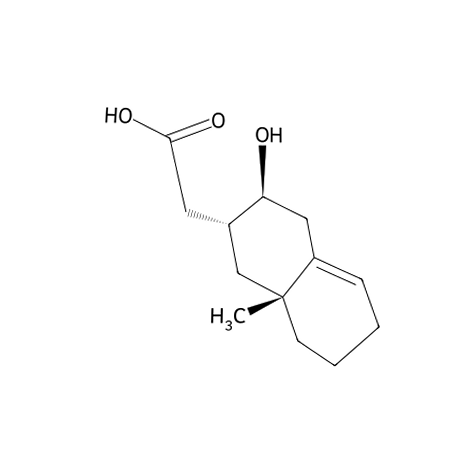 C[C@]12CCCC=C1C[C@H](O)[C@@H](CC(=O)O)C2